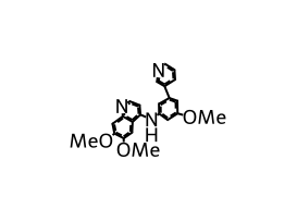 COc1cc(Nc2ccnc3cc(OC)c(OC)cc23)cc(-c2cccnc2)c1